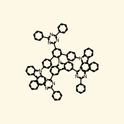 c1ccc(-c2nc(-c3ccccc3)nc(-c3cc(-c4ccc(-n5c6ccccc6c6ccccc65)cc4)c(-n4c5ccc(-c6nc(-c7ccccc7)nc(-c7ccccc7)n6)cc5c5cc(-c6nc(-c7ccccc7)nc(-c7ccccc7)n6)ccc54)c(-c4ccc(-n5c6ccccc6c6ccccc65)cc4)c3)n2)cc1